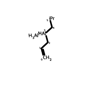 C=C[CH2][AlH][CH2]C(C)C.[AlH3]